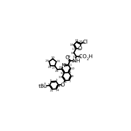 CC(C)(C)c1ccc(Oc2ccc3cc(C(=O)NC(Cc4ccc(Cl)o4)C(=O)O)nc(CC4CCCC4)c3c2)cc1